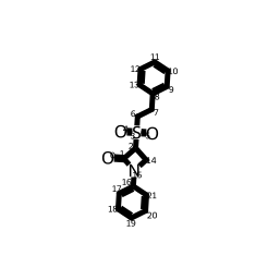 O=C1C(S(=O)(=O)CCc2ccccc2)CN1c1ccccc1